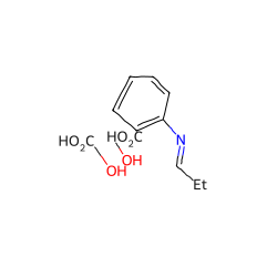 CCC=Nc1ccccc1.O=C(O)O.O=C(O)O